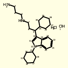 Cl.Cl.NCCCNCCC(c1cn(C2CCCCC2)c2ccccc12)C1CCCCC1